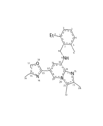 CCc1cccc(C)c1CNc1cc(-c2nc(C)co2)cn2c(C)c(C)nc12